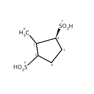 CC1C(S(=O)(=O)O)CC[C@@H]1S(=O)(=O)O